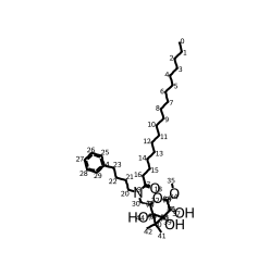 CCCCCCCCCCCCCCCCCC(=O)N(CCCCc1ccccc1)C[C@H]1O[C@@H](OC)[C@H](O)[C@]2(O)C(C)(C)[C@]12O